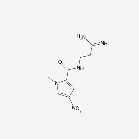 Cn1cc([N+](=O)[O-])cc1C(=O)NCCC(=N)N